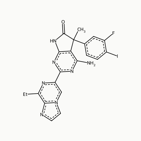 CCc1nc(-c2nc(N)c3c(n2)NC(=O)C3(C)c2ccc(I)c(F)c2)cn2ccnc12